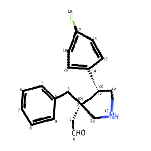 O=CC[C@@]1(Cc2ccccc2)CNC[C@H]1c1ccc(F)cc1